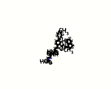 C[C@@H](NC(=O)c1cc(N2CCN(C)CC2)ccc1CCC(=O)NNC(=O)/C=C/C(=O)O)c1cccc2ccccc12